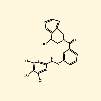 CC(C)(C)c1c(Cl)nc(NSc2cccc(C(=O)N3Cc4ccccc4C(O)C3)c2)nc1Cl